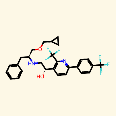 O[C@H](CN[C@H](COCC1CC1)Cc1ccccc1)c1ccc(-c2ccc(C(F)(F)F)cc2)nc1C(F)(F)F